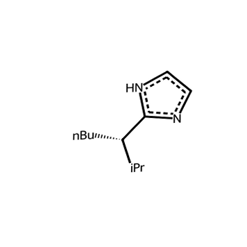 CCCC[C@H](c1ncc[nH]1)C(C)C